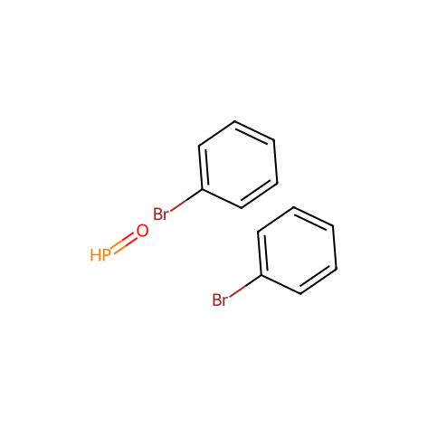 Brc1ccccc1.Brc1ccccc1.O=P